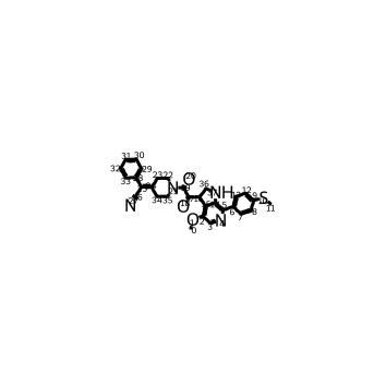 COc1cnc(-c2ccc(SC)cc2)c2c1C(C(=O)C(=O)N1CCC(=C(C#N)c3ccccc3)CC1)CN2